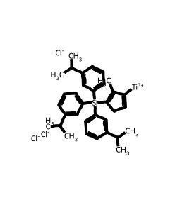 CC1=C([Si](c2cccc(C(C)C)c2)(c2cccc(C(C)C)c2)c2cccc(C(C)C)c2)CC=[C]1[Ti+3].[Cl-].[Cl-].[Cl-]